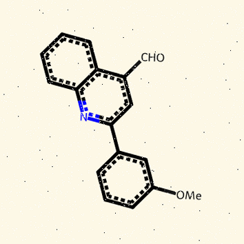 COc1cccc(-c2cc(C=O)c3ccccc3n2)c1